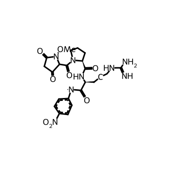 CON1C(=O)CC(=O)C1C(=O)N1CCC[C@H]1C(=O)N[C@@H](CCCNC(=N)N)C(=O)[N]c1ccc([N+](=O)[O-])cc1